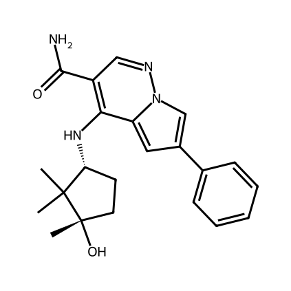 CC1(C)[C@H](Nc2c(C(N)=O)cnn3cc(-c4ccccc4)cc23)CC[C@]1(C)O